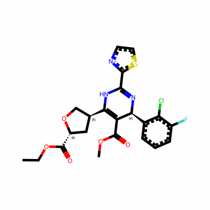 CCOC(=O)[C@H]1C[C@H](C2=C(C(=O)OC)[C@H](c3cccc(F)c3Cl)N=C(c3nccs3)N2)CO1